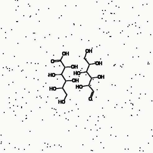 O=C(O)C(O)C(O)C(O)C(O)CO.O=CC(O)C(O)C(O)C(O)CO